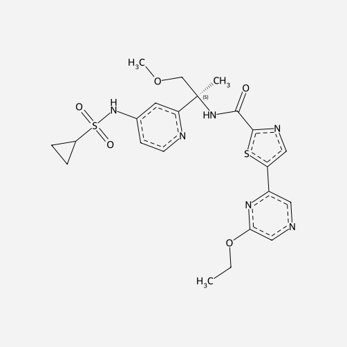 CCOc1cncc(-c2cnc(C(=O)N[C@](C)(COC)c3cc(NS(=O)(=O)C4CC4)ccn3)s2)n1